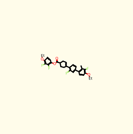 CCOc1ccc(-c2ccc(C3=CCC(C(=O)Oc4ccc(OCC)c(F)c4F)CC3)c(F)c2)c(C)c1F